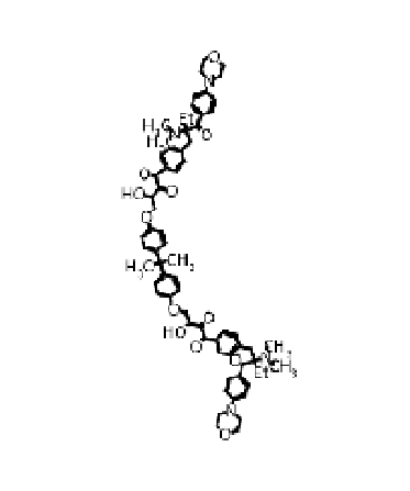 CCC(Cc1ccc(C(=O)C(=O)C(O)COc2ccc(C(C)(C)c3ccc(OCC(O)C(=O)C(=O)c4ccc(CC(CC)(C(=O)c5ccc(N6CCOCC6)cc5)N(C)C)cc4)cc3)cc2)cc1)(C(=O)c1ccc(N2CCOCC2)cc1)N(C)C